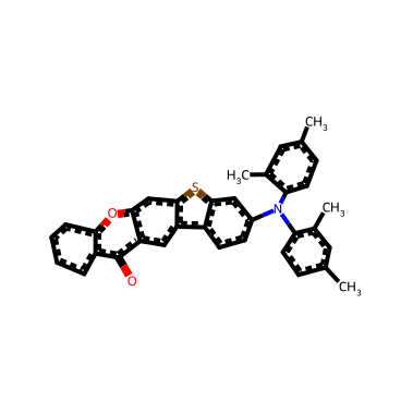 Cc1ccc(N(c2ccc3c(c2)sc2cc4oc5ccccc5c(=O)c4cc23)c2ccc(C)cc2C)c(C)c1